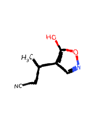 CC(CC#N)c1cnoc1O